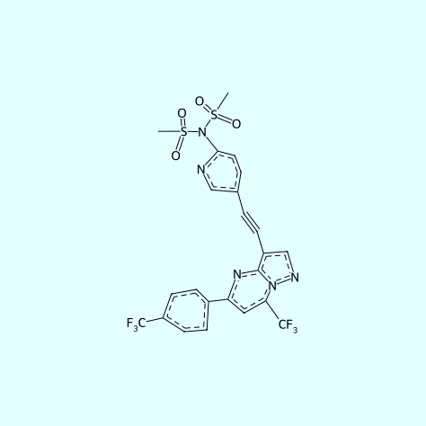 CS(=O)(=O)N(c1ccc(C#Cc2cnn3c(C(F)(F)F)cc(-c4ccc(C(F)(F)F)cc4)nc23)cn1)S(C)(=O)=O